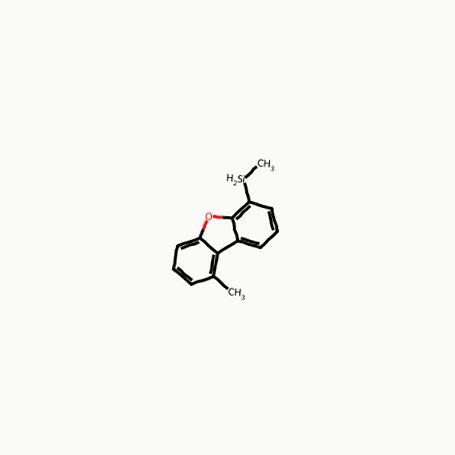 C[SiH2]c1cccc2c1oc1cccc(C)c12